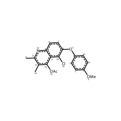 COc1ccc(Oc2ccc3nc(C)c(C)c(OC(C)=O)c3c2Cl)cc1